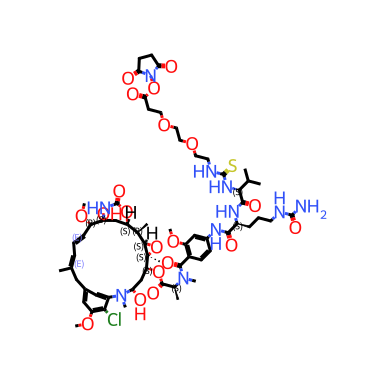 COc1cc(NC(=O)[C@H](CCCNC(N)=O)NC(=O)[C@@H](NC(=S)NCCOCCOCCC(=O)ON2C(=O)CCC2=O)C(C)C)ccc1C(=O)N(C)[C@@H](C)C(=O)O[C@H]1CC(O)N(C)c2cc(cc(OC)c2Cl)C/C(C)=C/C=C/[C@@H](OC)[C@@]2(O)C[C@H](OC(=O)N2)[C@@H](C)[C@@H]2O[C@@]12C